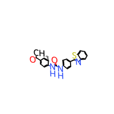 CC(=O)c1ccc(NC(=O)Nc2ccc(-c3nc4ccccc4s3)cc2)cc1